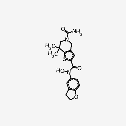 CC1(C)CN(C(N)=O)Cc2cc(C(=O)N(O)c3ccc4c(c3)CCO4)sc21